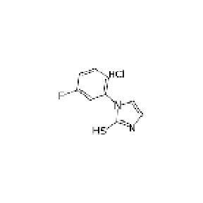 Cl.Fc1cccc(-n2ccnc2S)c1